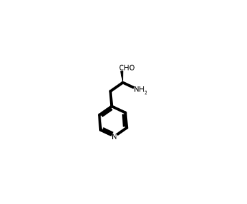 N[C@H](C=O)Cc1ccncc1